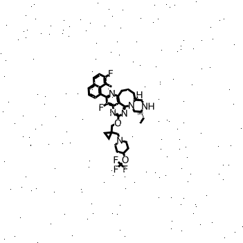 CC[C@@H]1CN2c3nc(OCC4(CN5CCC(OC(F)(F)F)CC5)CC4)nc4c(F)c(-c5cccc6ccc(F)c(C)c56)nc(c34)CCC[C@@H]2CN1